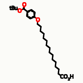 CC(C)(C)OC(=O)c1ccc(OCCCCCCCCCCCCCCCC(=O)O)cc1